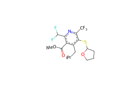 COC(=O)c1c(C(F)F)nc(C(F)(F)F)c(SC2CCCO2)c1CC(C)C